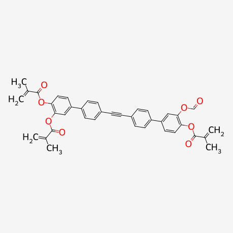 C=C(C)C(=O)Oc1ccc(-c2ccc(C#Cc3ccc(-c4ccc(OC(=O)C(=C)C)c(OC(=O)C(=C)C)c4)cc3)cc2)cc1OC=O